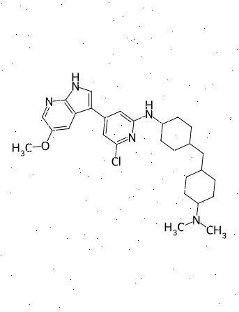 COc1cnc2[nH]cc(-c3cc(Cl)nc(NC4CCC(CC5CCC(N(C)C)CC5)CC4)c3)c2c1